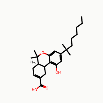 CCCCCCC(C)(C)c1cc(O)c2c(c1)OC(C)(C)[C@@H]1CC=C(C(=O)O)CC21